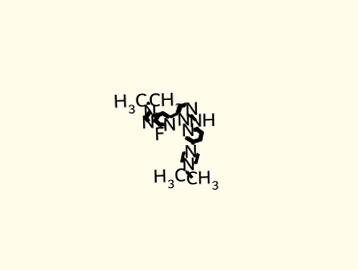 CC(C)N1CCN(c2ccc(Nc3nccc(-c4cc5c(ncn5C(C)C)c(F)n4)n3)nc2)CC1